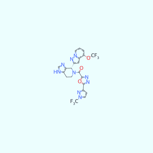 O=C(c1nnc(-c2ccn(C(F)(F)F)n2)o1)N1CCc2[nH]cnc2[C@@H]1c1cc2c(OC(F)(F)F)cccn2n1